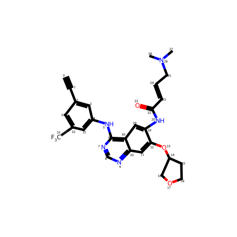 C#Cc1cc(Nc2ncnc3cc(OC4CCOC4)c(NC(=O)C=CCN(C)C)cc23)cc(C(F)(F)F)c1